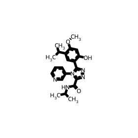 COc1cc(O)c(-c2nnc(C(=O)NC(C)C)n2-c2cccnc2)cc1C(C)C